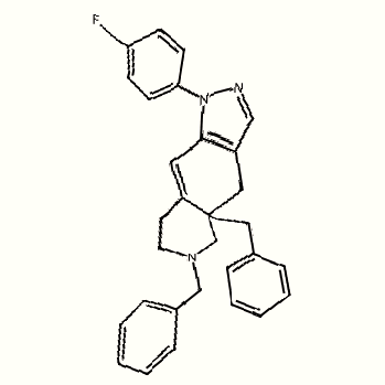 Fc1ccc(-n2ncc3c2C=C2CCN(Cc4ccccc4)CC2(Cc2ccccc2)C3)cc1